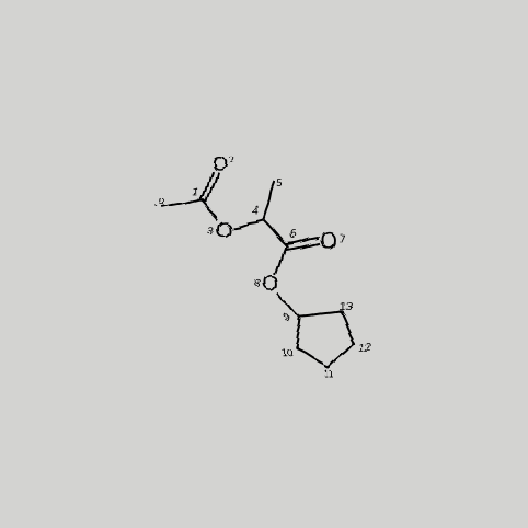 [CH2]C(=O)OC(C)C(=O)OC1CCCC1